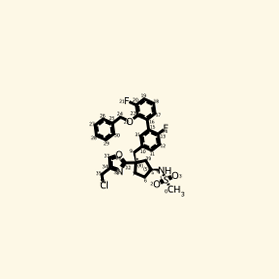 CS(=O)(=O)N[C@H]1CC[C@](Cc2ccc(F)c(-c3cccc(F)c3OCc3ccccc3)c2)(c2nc(CCl)co2)C1